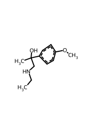 CCNCC(C)(O)c1ccc(OC)cc1